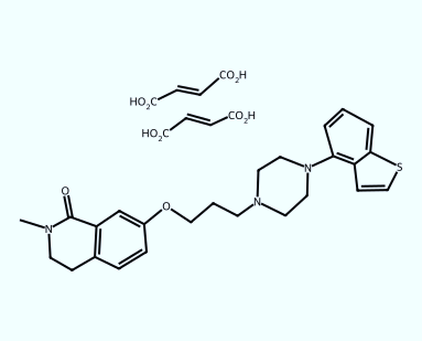 CN1CCc2ccc(OCCCN3CCN(c4cccc5sccc45)CC3)cc2C1=O.O=C(O)C=CC(=O)O.O=C(O)C=CC(=O)O